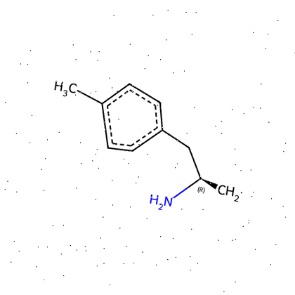 [CH2][C@@H](N)Cc1ccc(C)cc1